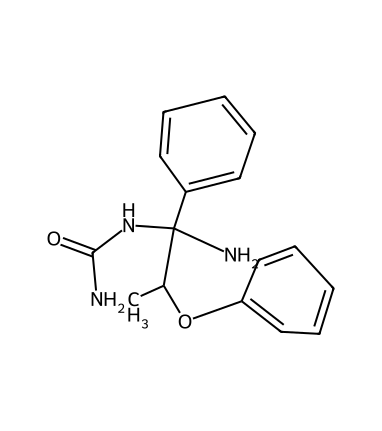 CC(Oc1ccccc1)C(N)(NC(N)=O)c1ccccc1